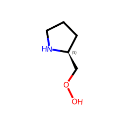 OOC[C@@H]1CCCN1